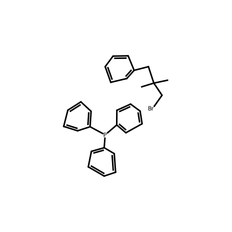 CC(C)(CBr)Cc1ccccc1.c1ccc(P(c2ccccc2)c2ccccc2)cc1